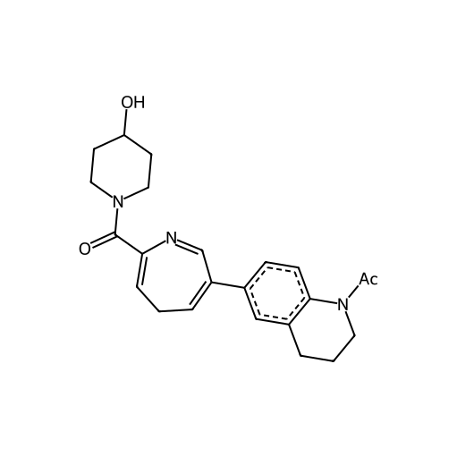 CC(=O)N1CCCc2cc(C3=CCC=C(C(=O)N4CCC(O)CC4)N=C3)ccc21